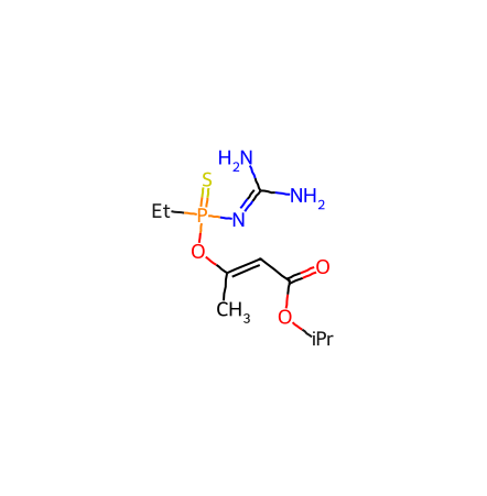 CCP(=S)(N=C(N)N)OC(C)=CC(=O)OC(C)C